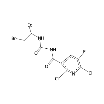 CCC(CBr)NC(=O)NC(=O)c1cc(F)c(Cl)nc1Cl